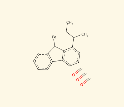 CCC(C)c1cccc2c1[CH]([Fe])c1ccccc1-2.[C]=O.[C]=O.[C]=O